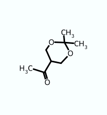 CC(=O)C1COC(C)(C)OC1